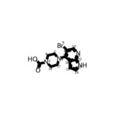 O=C(O)N1CCN(c2c(Br)cnc3[nH]ccc23)CC1